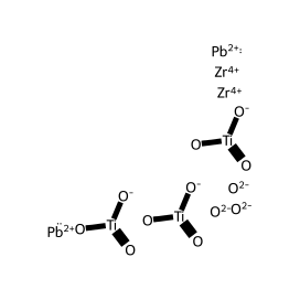 [O-2].[O-2].[O-2].[O]=[Ti]([O-])[O-].[O]=[Ti]([O-])[O-].[O]=[Ti]([O-])[O-].[Pb+2].[Pb+2].[Zr+4].[Zr+4]